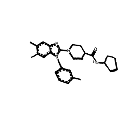 Cc1cccc(-n2c(N3CCC(C(=O)NC4CCCC4)CC3)nc3cc(C)c(C)cc32)c1